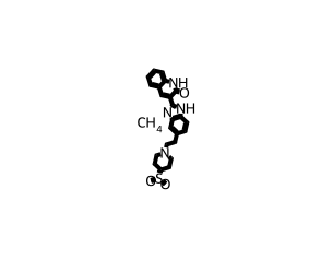 C.O=c1[nH]c2ccccc2cc1-c1nc2cc(CCN3CCC(=S(=O)=O)CC3)ccc2[nH]1